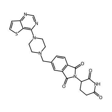 O=C1CCC(N2C(=O)c3ccc(CN4CCN(c5ncnc6ccsc56)CC4)cc3C2=O)C(=O)N1